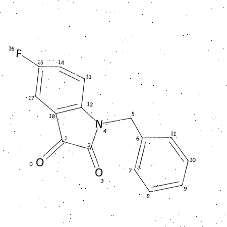 O=C1C(=O)N(Cc2ccccc2)c2ccc(F)cc21